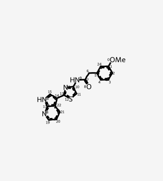 COc1cccc(CC(=O)Nc2csc(-c3c[nH]c4ncccc34)n2)c1